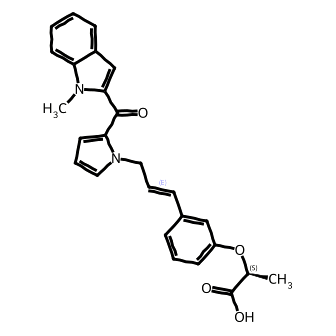 C[C@H](Oc1cccc(/C=C/Cn2cccc2C(=O)c2cc3ccccc3n2C)c1)C(=O)O